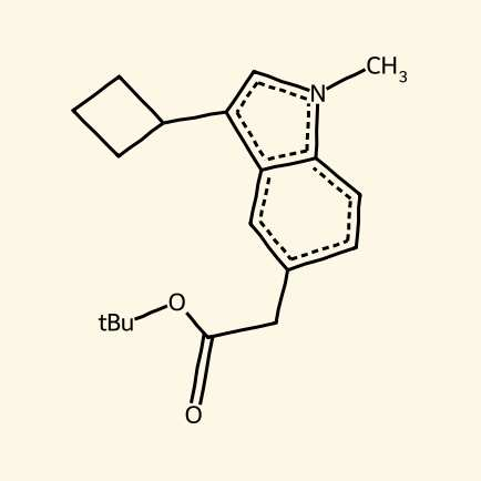 Cn1cc(C2CCC2)c2cc(CC(=O)OC(C)(C)C)ccc21